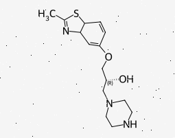 CC1=NC2C=C(OC[C@H](O)CN3CCNCC3)C=CC2S1